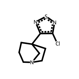 Clc1nsnc1C12CCCN(CC1)C2